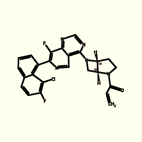 C=CC(=O)N1CC[C@@H]2[C@H]1CN2c1ncnc2c(F)c(-c3cccc4ccc(F)c(Cl)c34)ncc12